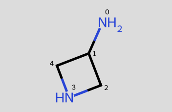 NC1CNC1